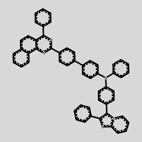 c1ccc(-c2nc3ccccn3c2-c2ccc(N(c3ccccc3)c3ccc(-c4ccc(-c5nc(-c6ccccc6)c6ccc7ccccc7c6n5)cc4)cc3)cc2)cc1